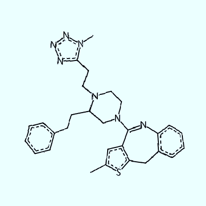 Cc1cc2c(s1)Cc1ccccc1N=C2N1CCN(CCc2nnnn2C)C(CCc2ccccc2)C1